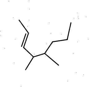 C/C=C/C(C)C(C)CCC